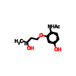 CC(=O)Nc1ccc(O)cc1OCC[C@H](C)O